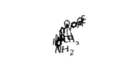 Cn1c(N2CCC(C(=O)Nc3ccc(OC(F)(F)F)cc3)C2)nc2ncc(N)cc21